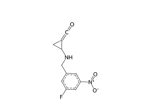 O=C=C1CC1NCc1cc(F)cc([N+](=O)[O-])c1